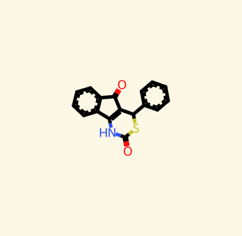 O=C1NC2=C(C(=O)c3ccccc32)C(c2ccccc2)S1